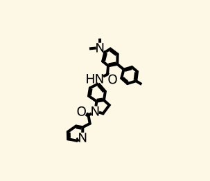 Cc1ccc(-c2ccc(N(C)C)cc2C(=O)Nc2ccc3c(c2)CCN3C(=O)Cc2ccccn2)cc1